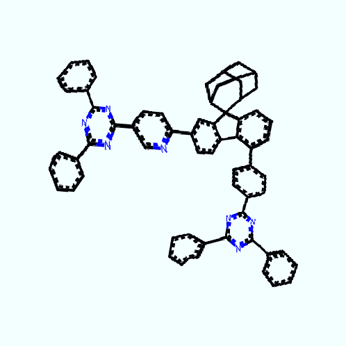 c1ccc(-c2nc(-c3ccccc3)nc(-c3ccc(-c4cccc5c4-c4ccc(-c6ccc(-c7nc(-c8ccccc8)nc(-c8ccccc8)n7)cn6)cc4C54C5CC6CC(C5)CC4C6)cc3)n2)cc1